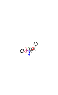 C[C@](C=O)(COCc1ccccc1)NP(=O)(Cl)Oc1ccccc1